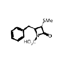 CS[C@@H]1C(=O)N(C(=O)O)[C@H]1Cc1ccccc1